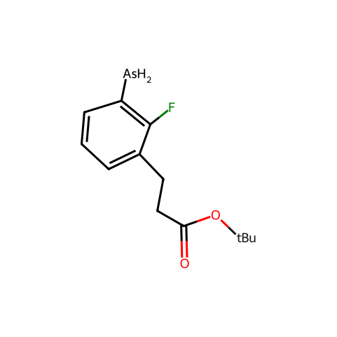 CC(C)(C)OC(=O)CCc1cccc([AsH2])c1F